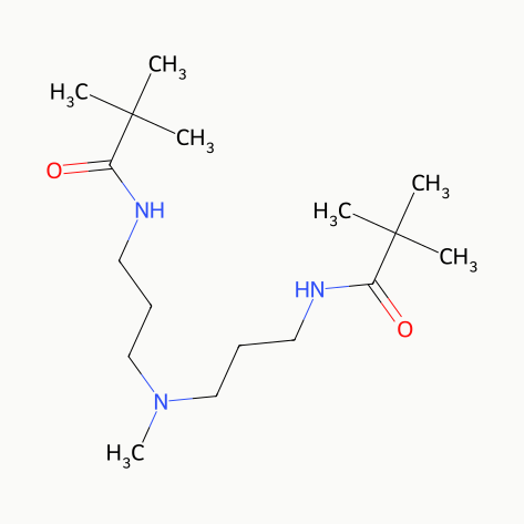 CN(CCCNC(=O)C(C)(C)C)CCCNC(=O)C(C)(C)C